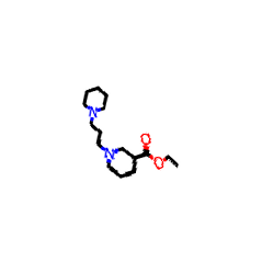 CCOC(=O)C1CCCN(CCCN2CCCCC2)C1